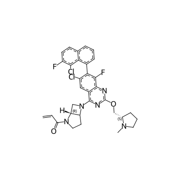 C=CC(=O)N1CCC2[C@H]1CN2c1nc(OC[C@@H]2CCCN2C)nc2c(F)c(-c3cccc4ccc(F)c(Cl)c34)c(Cl)cc12